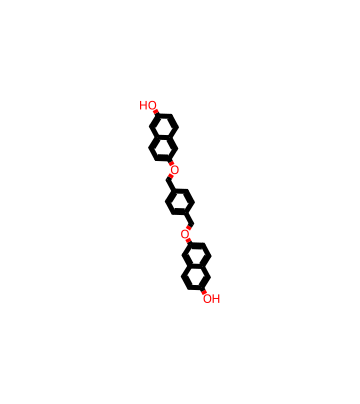 Oc1ccc2cc(OCc3ccc(COc4ccc5cc(O)ccc5c4)cc3)ccc2c1